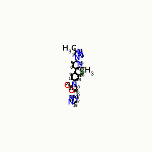 Cc1cn(-c2ccc(-c3ccc(N4C[C@H](Cn5ccnn5)OC4=O)cc3F)c(C)n2)nn1